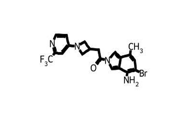 Cc1cc(Br)c(N)c2cn(C(=O)CC3CN(c4ccnc(C(F)(F)F)c4)C3)cc12